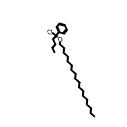 CCCCCCCCCCCCCCCCCCOC(Cl)(CCCC)c1ccccc1